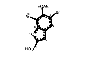 COc1c(Br)cc2cc(C(=O)O)oc2c1Br